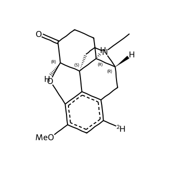 [2H]c1cc(OC)c2c3c1C[C@@H]1[C@@H]4CCC(=O)[C@H](O2)[C@]34CCN1C